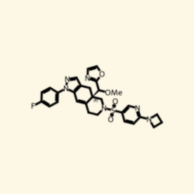 COC(c1ncco1)[C@]12Cc3cnn(-c4ccc(F)cc4)c3C=C1CCN(S(=O)(=O)c1ccc(N3CCC3)nc1)C2